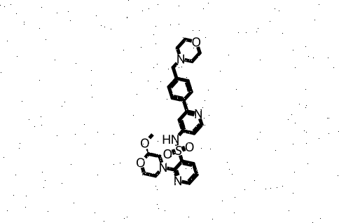 CO[C@@H]1CN(c2ncccc2S(=O)(=O)Nc2ccnc(-c3ccc(CN4CCOCC4)cc3)c2)CCO1